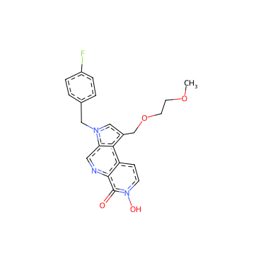 COCCOCc1cn(Cc2ccc(F)cc2)c2cnc3c(=O)n(O)ccc3c12